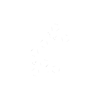 c1ccc(-c2nc(-c3ccc(-c4cccc(-c5nc6ccccc6c6c5ccc5c7ccccc7sc56)c4)cc3)nc3ccccc23)cc1